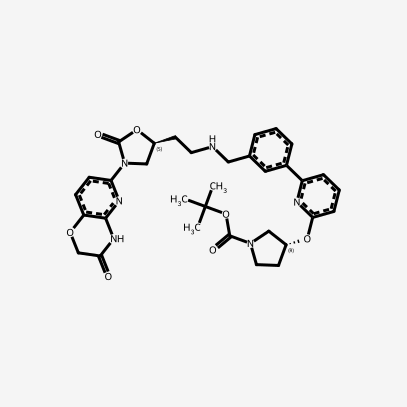 CC(C)(C)OC(=O)N1CC[C@@H](Oc2cccc(-c3cccc(CNCC[C@H]4CN(c5ccc6c(n5)NC(=O)CO6)C(=O)O4)c3)n2)C1